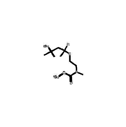 CCC(C)(CC(C)(C)C(C)(C)C)OCCN(C)C(=O)OC(C)(C)C